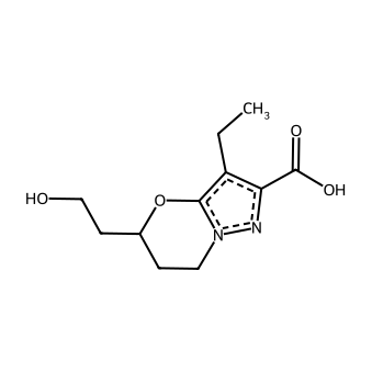 CCc1c(C(=O)O)nn2c1OC(CCO)CC2